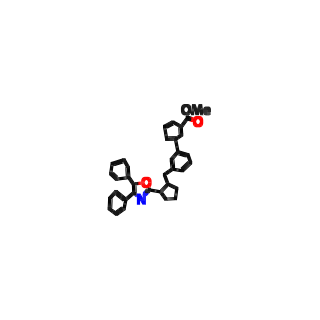 COC(=O)c1cccc(-c2cccc(CC3CCCC3c3nc(-c4ccccc4)c(-c4ccccc4)o3)c2)c1